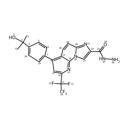 CC(C)(O)c1ccc(-c2cc(C(F)(F)C(F)(F)F)nc3c2ccc2nc(C(=O)NN)cn23)cc1